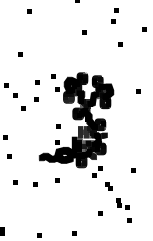 CCCc1ccc(NC(=O)[C@H](C)NC(=O)[C@H](C)NC(=O)CCC(=O)N(CCN2C(=O)C=CC2=O)CCN2C(=O)C=CC2=O)cc1